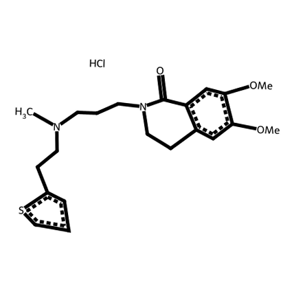 COc1cc2c(cc1OC)C(=O)N(CCCN(C)CCc1cccs1)CC2.Cl